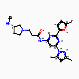 CCN[C@H]1CCN(CCC(=O)Nc2cc(-n3nc(C)cc3C)nc(-c3ccc(C)o3)n2)C1